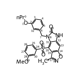 CCCOc1cccc(Cn2c(=O)[nH]c3cc4onc(C)c4c(S(=O)(=O)c4cccc(OC)c4)c32)c1